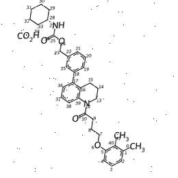 Cc1cccc(OCCCC(=O)N2CCCc3c(-c4cccc(COC(=O)N[C@H]5CCCC[C@H]5C(=O)O)c4)cccc32)c1C